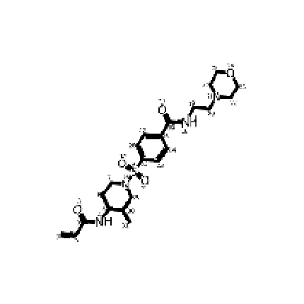 C=CC(=O)NC1CCN(S(=O)(=O)c2ccc(C(=O)NCCN3CCOCC3)cc2)CC1C